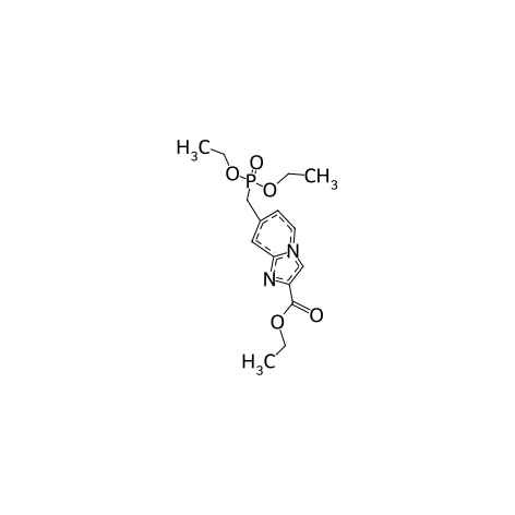 CCOC(=O)c1cn2ccc(CP(=O)(OCC)OCC)cc2n1